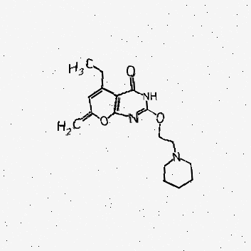 C=C1C=C(CC)c2c(nc(OCCN3CCCCC3)[nH]c2=O)O1